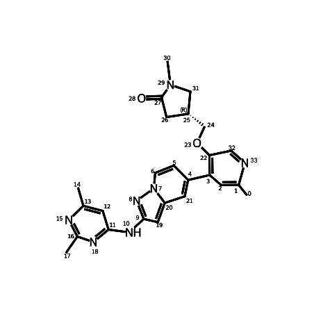 Cc1cc(-c2ccn3nc(Nc4cc(C)nc(C)n4)cc3c2)c(OC[C@@H]2CC(=O)N(C)C2)cn1